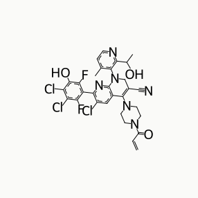 C=CC(=O)N1CCN(C2=C(C#N)C(O)N(c3c(C)ccnc3C(C)C)c3nc(-c4c(F)c(O)c(Cl)c(Cl)c4F)c(Cl)cc32)CC1